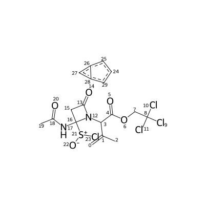 C=C(C)C(C(=O)OCC(Cl)(Cl)Cl)N1C(=O)CC1(NC(C)=O)[S+]([O-])Cl.c1cc2cc-2c1